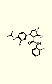 CC(C)Oc1ccc([C@H]2CN(C)C(=O)[C@@H]2C(=O)Nc2ccccc2F)cc1F